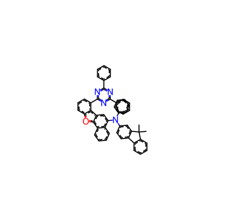 CC1(C)c2ccccc2-c2ccc(N(c3ccccc3)c3cc4c(oc5cccc(-c6nc(-c7ccccc7)nc(-c7ccccc7)n6)c54)c4ccccc34)cc21